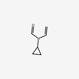 C=CN(C=O)C1CC1